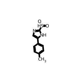 Cc1ccc(-c2cnc([SH](=O)=O)[nH]2)cc1